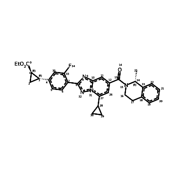 CCOC(=O)[C@@H]1C[C@H]1c1ccc(-c2nc3cc(C(=O)N4CCc5ccccc5[C@H]4C)cc(C4CC4)n3n2)c(F)c1